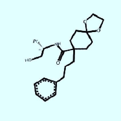 CC(C)[C@@H](CO)NC(=O)C1(CCCc2ccccc2)CCC2(CC1)OCCO2